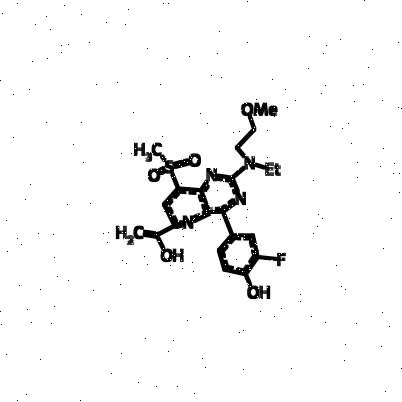 C=C(O)c1cc(S(C)(=O)=O)c2nc(N(CC)CCOC)nc(-c3ccc(O)c(F)c3)c2n1